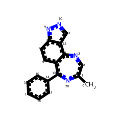 Cc1cnc2c(ccc3nncc32)c(-c2ccccc2)n1